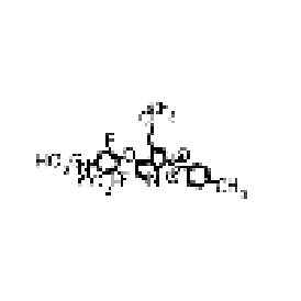 Cc1ccc(S(=O)(=O)n2cc(CCOC(F)(F)F)c3c(Oc4c(F)cc(N(C(=O)O)C(=O)O)cc4F)ccnc32)cc1